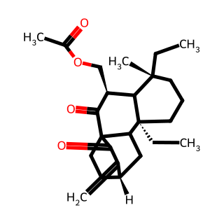 C=C1C(=O)C23CC[C@H]1CC2[C@]1(CC)CCC[C@@](C)(CC)C1[C@H](COC(C)=O)C3=O